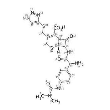 CN(C)C(=O)Nc1ccc(C(N)C(=O)NC2C(=O)N3C(C(=O)O)=C(CSc4c[nH]nn4)CS[C@@H]23)cc1